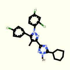 Cc1c(-c2nc(C3CCCCC3)n(C(C)C)n2)nn(-c2ccc(Cl)cc2Cl)c1-c1ccc(Cl)cc1